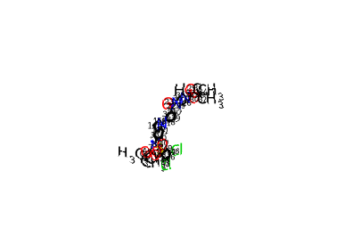 CC(C)(C)OC(=O)CN(c1ccc2c(ccn2-c2cccc(C(=O)N3CCN(C(=O)OC(C)(C)C)CC3)c2)c1)S(=O)(=O)c1cc(Cl)cc(Cl)c1